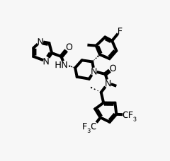 Cc1cc(F)ccc1[C@H]1C[C@@H](NC(=O)c2cnccn2)CCN1C(=O)N(C)[C@@H](C)c1cc(C(F)(F)F)cc(C(F)(F)F)c1